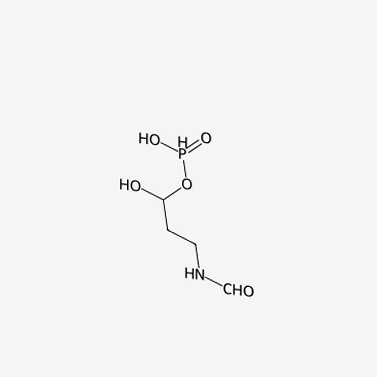 O=CNCCC(O)O[PH](=O)O